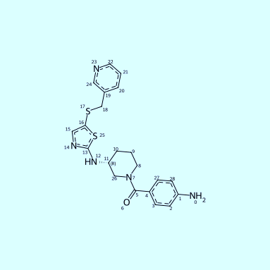 Nc1ccc(C(=O)N2CCC[C@@H](Nc3ncc(SCc4cccnc4)s3)C2)cc1